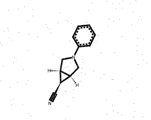 N#C[C@H]1[C@H]2CN(c3ccccc3)C[C@@H]12